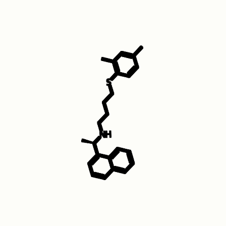 Cc1ccc(SCCCCN[C@H](C)c2cccc3ccccc23)c(C)c1